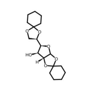 O[C@H]1[C@@H]([C@H]2COC3(CCCCC3)O2)OC2OC3(CCCCC3)O[C@@H]21